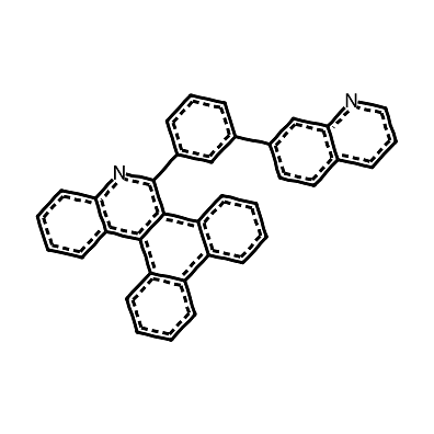 c1cc(-c2ccc3cccnc3c2)cc(-c2nc3ccccc3c3c4ccccc4c4ccccc4c23)c1